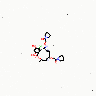 CC1C/C=C/[C@@H](OCC(=O)N2CCCCC2)C/C=C/C(=N/OCC(=O)N2CCCCC2)Cc2c(Cl)c(O)cc(O)c2C(=O)O1